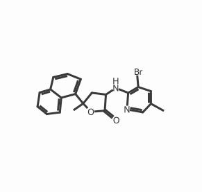 Cc1cnc(NC2CC(C)(c3cccc4ccccc34)OC2=O)c(Br)c1